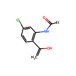 C=C(O)c1ccc(Cl)cc1NC(=O)CC